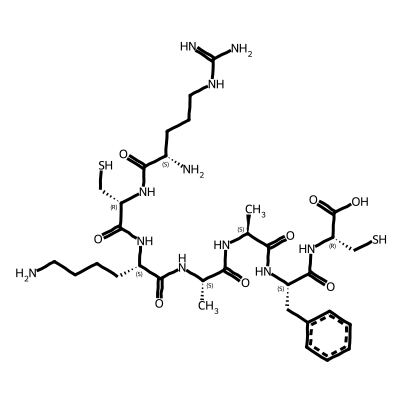 C[C@H](NC(=O)[C@H](C)NC(=O)[C@H](CCCCN)NC(=O)[C@H](CS)NC(=O)[C@@H](N)CCCNC(=N)N)C(=O)N[C@@H](Cc1ccccc1)C(=O)N[C@@H](CS)C(=O)O